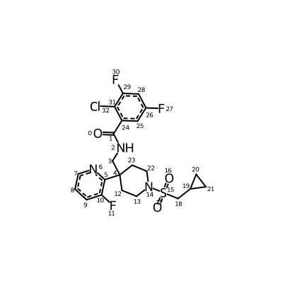 O=C(NCC1(c2ncccc2F)CCN(S(=O)(=O)CC2CC2)CC1)c1cc(F)cc(F)c1Cl